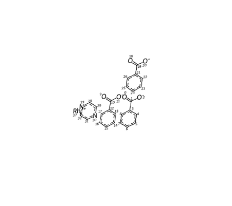 O=C([O-])c1ccccc1.O=C([O-])c1ccccc1.O=C([O-])c1ccccc1.[Rh+3].c1cnccn1